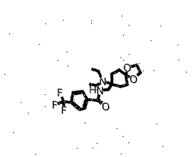 CCN(CC)C1(CNC(=O)c2ccc(C(F)(F)F)cc2)CCC2(CC1)OCCO2